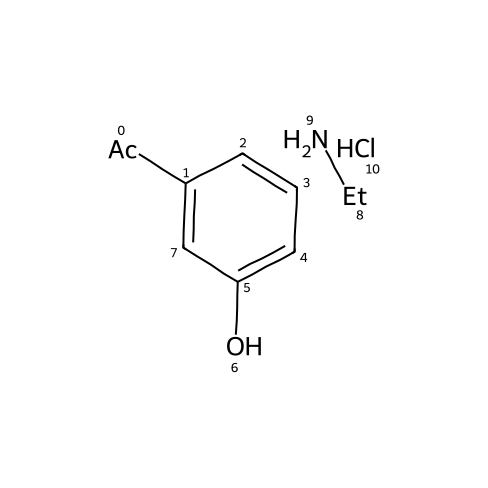 CC(=O)c1cccc(O)c1.CCN.Cl